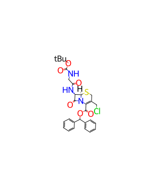 CC(C)(C)OC(=O)NCC(=O)N[C@@H]1C(=O)N2C(C(=O)OC(c3ccccc3)c3ccccc3)=C(CCl)CS[C@H]12